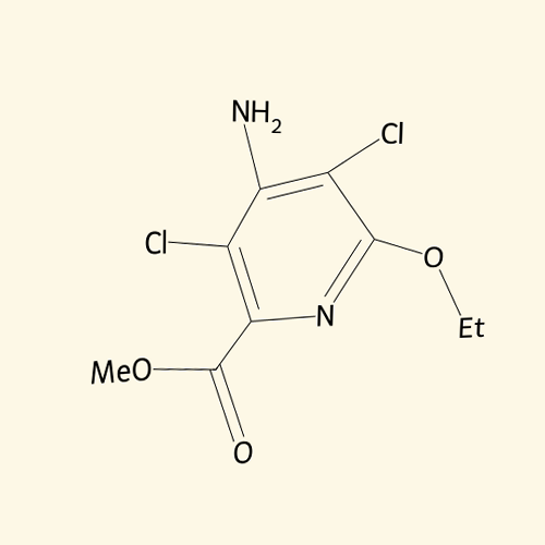 CCOc1nc(C(=O)OC)c(Cl)c(N)c1Cl